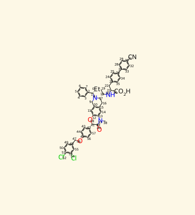 CC[C@@H](c1ccccc1)N1Cc2cc3c(cc2C[C@H]1C(C)N[C@@H](Cc1ccc(-c2ccc(C#N)cc2)cc1)C(=O)O)N(C)C(=O)[C@H](c1ccc(OCc2ccc(Cl)c(Cl)c2)cc1)O3